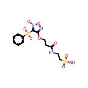 O=C(CCOc1no[n+]([O-])c1S(=O)(=O)c1ccccc1)NCCS(=O)(=O)O